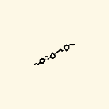 CCCc1ccc(OC[C@H]2CC[C@H](C#CC=C[C@H]3CC[C@H](CCC)CC3)CC2)cc1